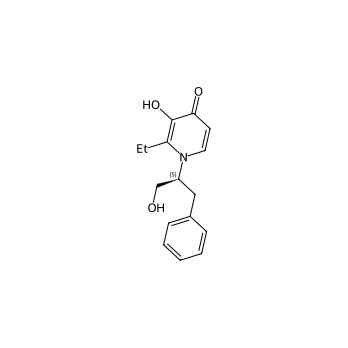 CCc1c(O)c(=O)ccn1[C@H](CO)Cc1ccccc1